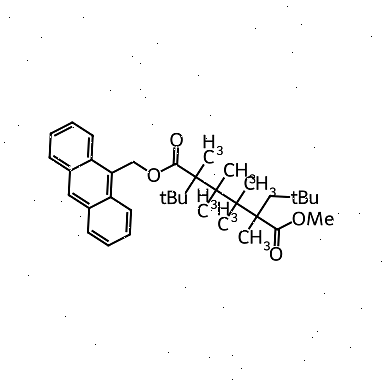 COC(=O)C(C)(CC(C)(C)C)C(C)(C)C(C)(C)C(C)(C(=O)OCc1c2ccccc2cc2ccccc12)C(C)(C)C